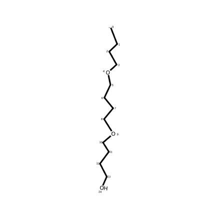 [CH2]CCCOCCCCOCCCCO